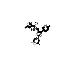 Cc1ccc(-c2sc(N3C[C@@H](C)O[C@@H](C)C3)nc2CNC(=O)c2cc(C)on2)cn1